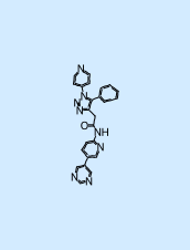 O=C(Cc1nnn(-c2ccncc2)c1-c1ccccc1)Nc1ccc(-c2cncnc2)cn1